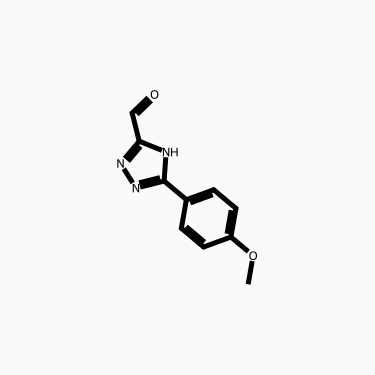 COc1ccc(-c2nnc(C=O)[nH]2)cc1